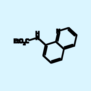 CCOC(=O)Nc1cccc2cccnc12